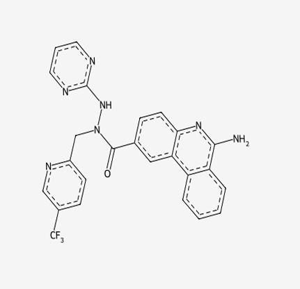 Nc1nc2ccc(C(=O)N(Cc3ccc(C(F)(F)F)cn3)Nc3ncccn3)cc2c2ccccc12